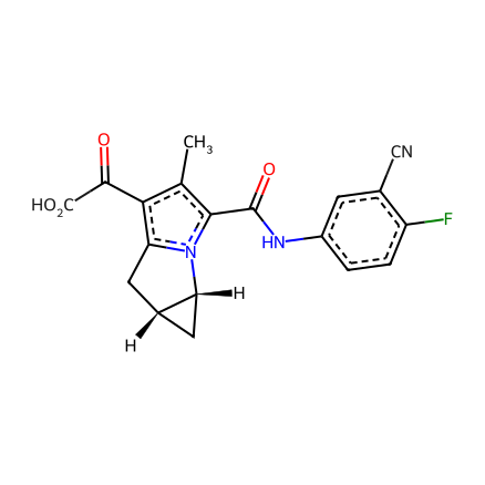 Cc1c(C(=O)C(=O)O)c2n(c1C(=O)Nc1ccc(F)c(C#N)c1)[C@@H]1C[C@@H]1C2